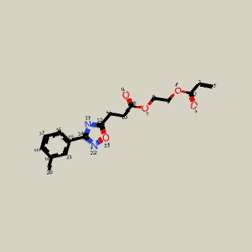 C=CC(=O)OCCOC(=O)CCc1nc(-c2cccc(C)c2)no1